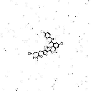 CNC(=O)N(CCCl)Cc1csc(C(=O)Nc2c(OC)cc(Cl)cc2C(=O)Nc2ccc(Cl)cn2)c1Cl